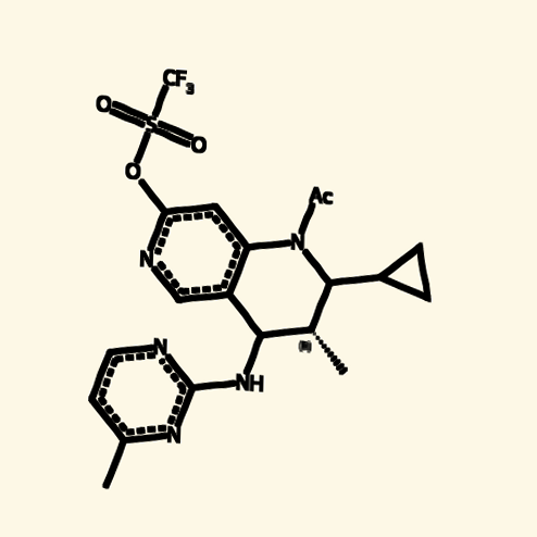 CC(=O)N1c2cc(OS(=O)(=O)C(F)(F)F)ncc2C(Nc2nccc(C)n2)[C@@H](C)C1C1CC1